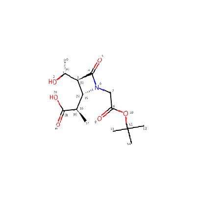 C[C@@H](O)[C@H]1C(=O)N(CC(=O)OC(C)(C)C)[C@@H]1[C@@H](C)C(=O)O